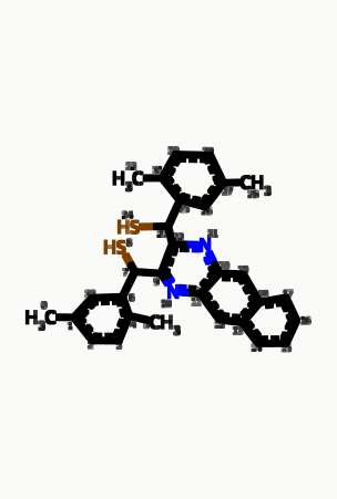 Cc1ccc(C)c(C(S)c2nc3cc4ccccc4cc3nc2C(S)c2cc(C)ccc2C)c1